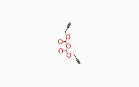 C#CCOC(=O)OC(=O)OCC#C